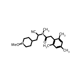 CON1CCC(CC(C#N)N(C)C(=O)Cc2c(C)cc(C)cc2C)CC1